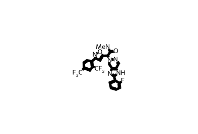 CNC(=O)C(c1cc(-c2ccc(C(F)(F)F)cc2C(F)(F)F)no1)N1Cc2nc(-c3ccccc3F)[nH]c2C=N1